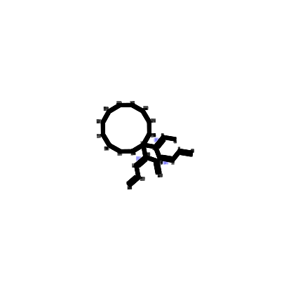 C=C/C=C\C(=C/C)C1(/C(C=C)=C/C=C)CCCCCCCCCCC1